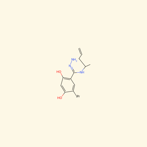 C=CCC(C)N/C(=N\N)c1cc(C(C)C)c(O)cc1O